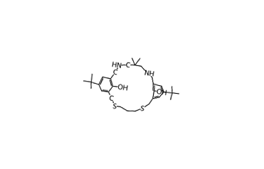 CC1(C)CNCc2cc(C(C)(C)C)cc(c2O)CSCCCSCc2cc(C(C)(C)C)cc(c2O)CNC1